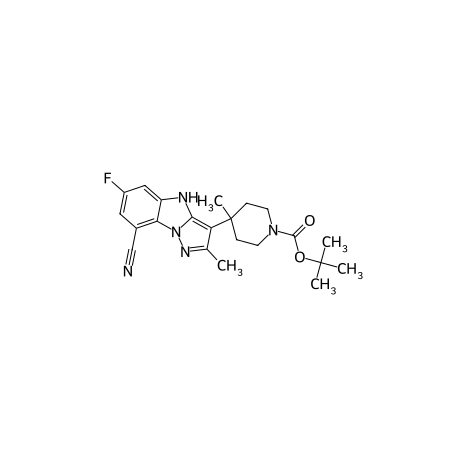 Cc1nn2c([nH]c3cc(F)cc(C#N)c32)c1C1(C)CCN(C(=O)OC(C)(C)C)CC1